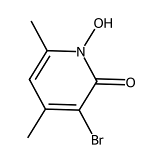 Cc1cc(C)n(O)c(=O)c1Br